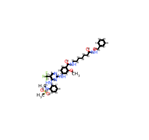 COc1cc(Nc2ncc(C(F)(F)F)c(Nc3ccccc3N(C)S(C)(=O)=O)n2)ccc1C(=O)NCCCCCCC(=O)NOCc1ccccc1